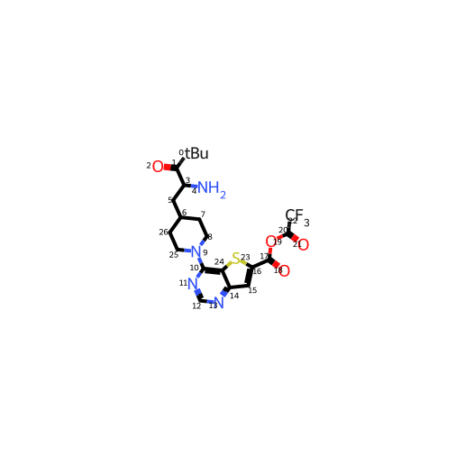 CC(C)(C)C(=O)C(N)CC1CCN(c2ncnc3cc(C(=O)OC(=O)C(F)(F)F)sc23)CC1